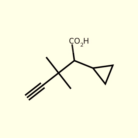 C#CC(C)(C)C(C(=O)O)C1CC1